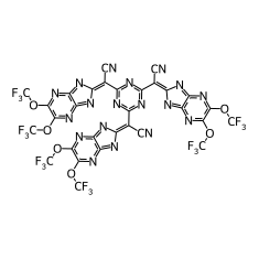 N#CC(=C1N=c2nc(OC(F)(F)F)c(OC(F)(F)F)nc2=N1)c1nc(C(C#N)=C2N=c3nc(OC(F)(F)F)c(OC(F)(F)F)nc3=N2)nc(C(C#N)=C2N=c3nc(OC(F)(F)F)c(OC(F)(F)F)nc3=N2)n1